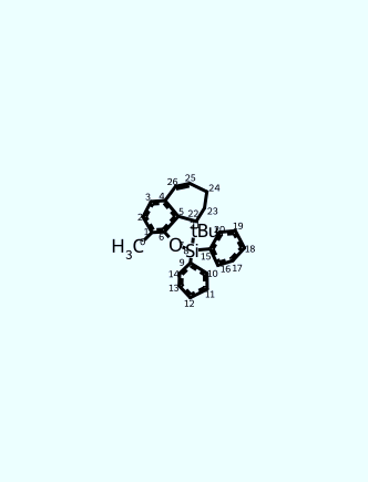 Cc1ccc2c(c1O[Si](c1ccccc1)(c1ccccc1)C(C)(C)C)CCCC=C2